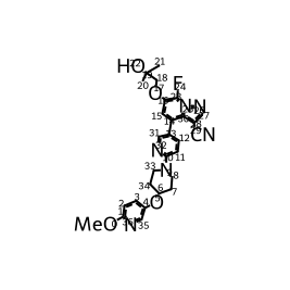 COc1ccc(OC2CCN(c3ccc(-c4cc(OCC(C)(C)O)c(F)n5ncc(C#N)c45)cn3)CC2)cn1